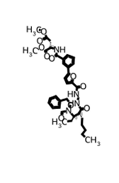 CCCCC[C@@H](C(=O)NCNC(=O)c1ccc(-c2cccc(C(=O)N[C@@H](CC(=O)OC)C(=O)OC)c2)o1)[C@@H](CC)N(C=O)OCc1ccccc1